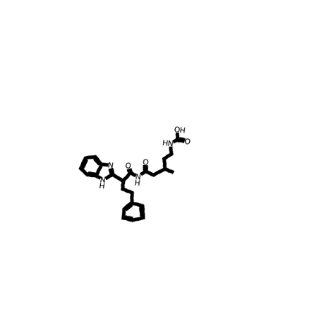 CC(CCNC(=O)O)CC(=O)NC(=O)C(CCc1ccccc1)c1nc2ccccc2[nH]1